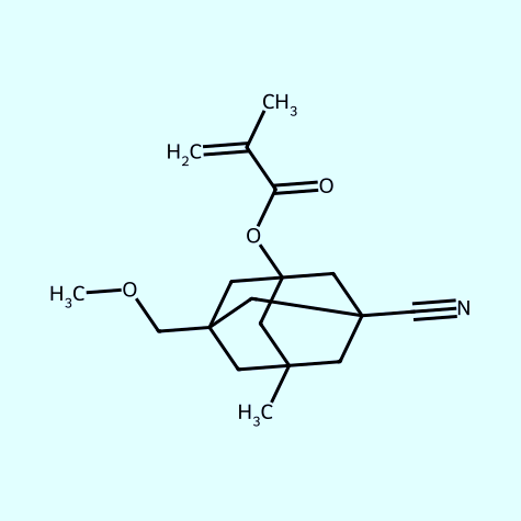 C=C(C)C(=O)OC12CC3(C)CC(C#N)(CC(COC)(C3)C1)C2